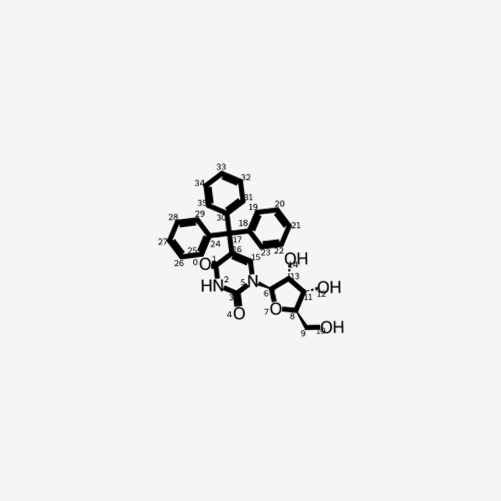 O=c1[nH]c(=O)n([C@@H]2O[C@H](CO)[C@@H](O)[C@H]2O)cc1C(c1ccccc1)(c1ccccc1)c1ccccc1